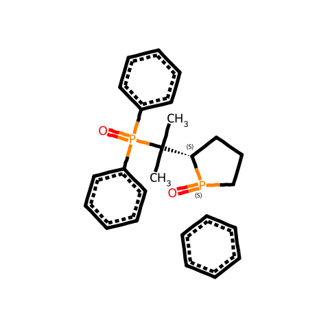 CC(C)([C@@H]1CCC[P@@]1(=O)c1ccccc1)P(=O)(c1ccccc1)c1ccccc1